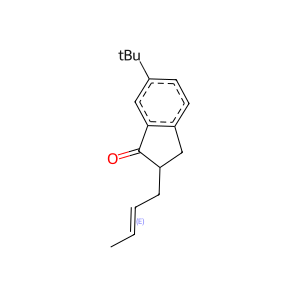 C/C=C/CC1Cc2ccc(C(C)(C)C)cc2C1=O